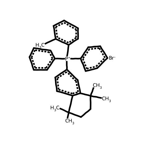 Cc1ccccc1[P+](c1ccccc1)(c1ccccc1)c1ccc2c(c1)C(C)(C)CCC2(C)C.[Br-]